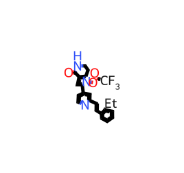 CCc1ccccc1C=Cc1cc(-c2cc3c(n2OC(=O)C(F)(F)F)CCNC3=O)ccn1